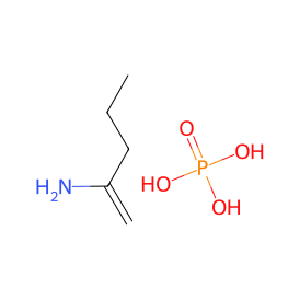 C=C(N)CCC.O=P(O)(O)O